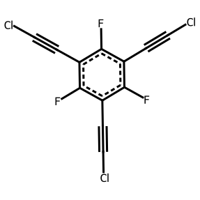 Fc1c(C#CCl)c(F)c(C#CCl)c(F)c1C#CCl